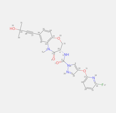 CN1C(=O)[C@@H](NC(=O)n2cc(Oc3cccc(F)n3)cn2)COc2ccc(C#CC(C)(C)O)cc21